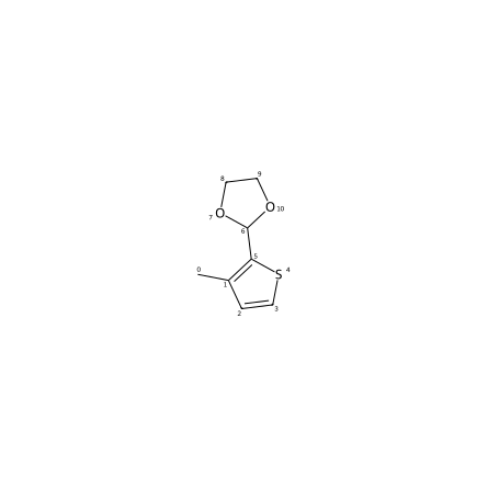 Cc1ccsc1C1OCCO1